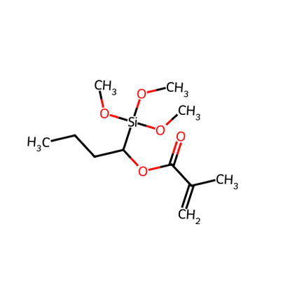 C=C(C)C(=O)OC(CCC)[Si](OC)(OC)OC